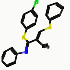 CC(=C\Sc1ccccc1)/C(=N/c1ccccc1)Sc1ccc(Cl)cc1